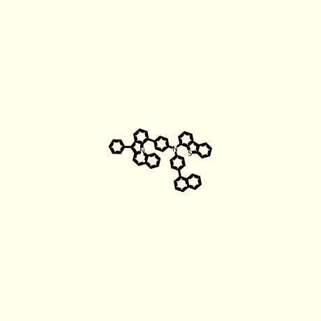 c1ccc(-c2c3cccc(-c4ccc(N(c5ccc(-c6cccc7ccccc67)cc5)c5cccc6c5sc5ccccc56)cc4)c3n3c2ccc2ccccc23)cc1